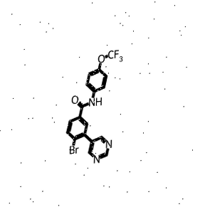 O=C(Nc1ccc(OC(F)(F)F)cc1)c1ccc(Br)c(-c2cncnc2)c1